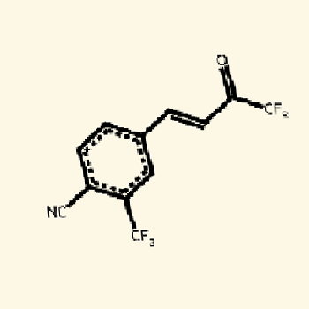 N#Cc1ccc(C=CC(=O)C(F)(F)F)cc1C(F)(F)F